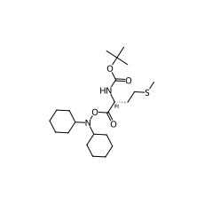 CSCC[C@@H](NC(=O)OC(C)(C)C)C(=O)ON(C1CCCCC1)C1CCCCC1